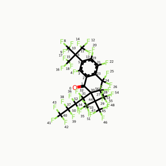 O=C1c2c(F)c(C(C(F)(F)F)(C(F)(F)F)C(F)(F)F)c(F)c(F)c2C(F)(F)C(F)(F)C1(C(F)(F)C(F)(F)C(F)(F)C(F)(F)F)C(C(F)(F)F)(C(F)(F)F)C(F)(F)F